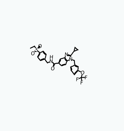 CCS(=O)(=O)c1ccc(CNC(=O)c2ccc3c(c2)nc(C2CC2)n3Cc2cccc(OC(F)(F)F)c2)cc1